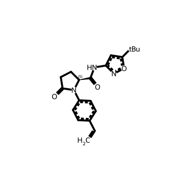 C=Cc1ccc(N2C(=O)CC[C@H]2C(=O)Nc2cc(C(C)(C)C)on2)cc1